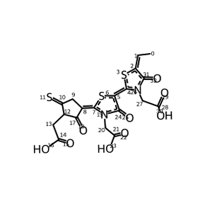 C/C=c1/s/c(=c2\s/c(=C3\CC(=S)C(CC(=O)O)C3=O)n(CC(=O)O)c2=O)n(CC(=O)O)c1=O